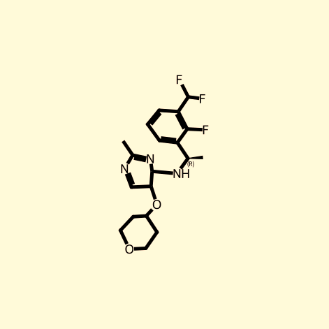 CC1=NC(N[C@H](C)c2cccc(C(F)F)c2F)C(OC2CCOCC2)C=N1